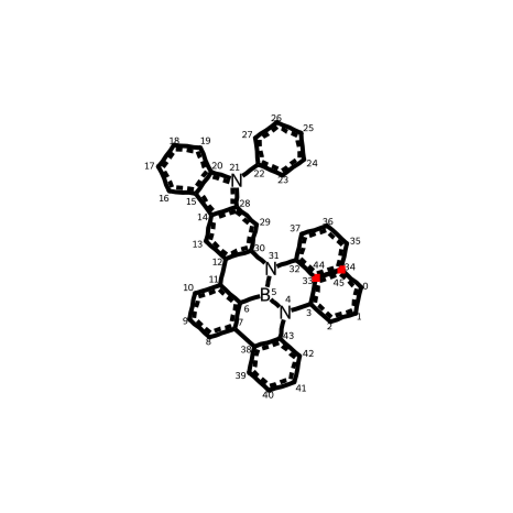 c1ccc(N2B3c4c(cccc4-c4cc5c6ccccc6n(-c6ccccc6)c5cc4N3c3ccccc3)-c3ccccc32)cc1